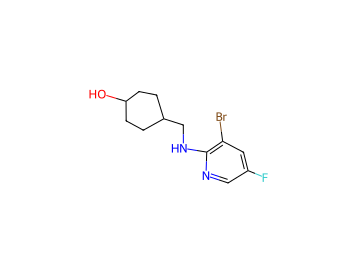 OC1CCC(CNc2ncc(F)cc2Br)CC1